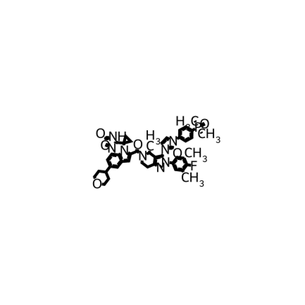 Cc1cc(-n2nc3c(c2-n2ccn(-c4ccc(P(C)(C)=O)cc4)c2=O)C(C)N(C(=O)c2cc4cc(C5CCOCC5)ccc4n2C2(c4noc(=O)[nH]4)CC2)CC3)cc(C)c1F